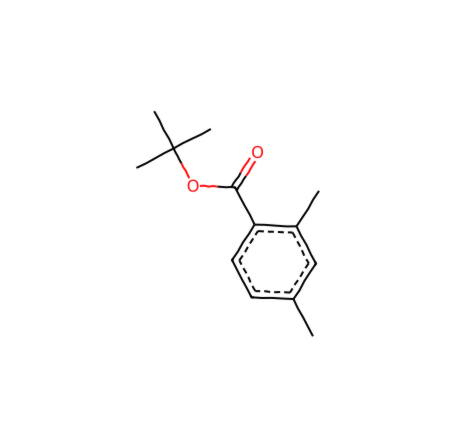 Cc1ccc(C(=O)OC(C)(C)C)c(C)c1